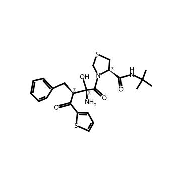 CC(C)(C)NC(=O)[C@@H]1CSCN1C(=O)[C@@](N)(O)[C@H](Cc1ccccc1)C(=O)c1cccs1